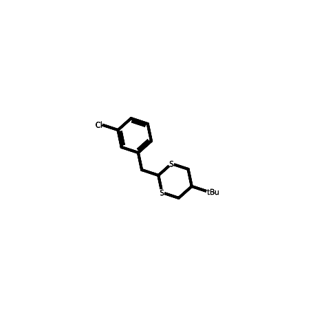 CC(C)(C)C1CSC(Cc2cccc(Cl)c2)SC1